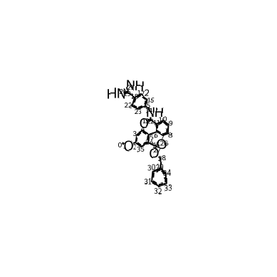 COc1ccc(-c2ccccc2C(=O)Nc2ccc(C(=N)N)cc2)c(C(=O)OCc2ccccc2)c1